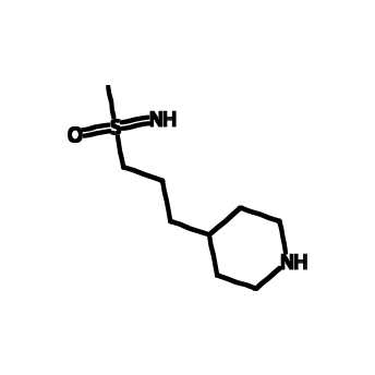 CS(=N)(=O)CCCC1CCNCC1